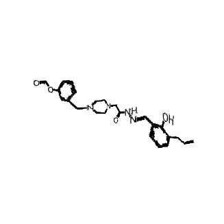 C=CCc1cccc(/C=N/NC(=O)CN2CCN(Cc3cccc(OC=O)c3)CC2)c1O